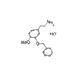 COc1ccc(CCN)cc1OCc1ccccc1.Cl